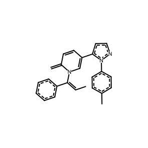 C=C1C=CC(c2ccnn2-c2ccc(C)cc2)=CN1/C(=C\C)c1ccccc1